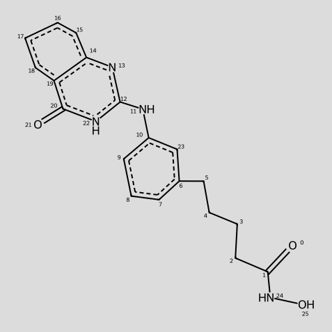 O=C(CCCCc1cccc(Nc2nc3ccccc3c(=O)[nH]2)c1)NO